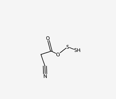 N#CCC(=O)OSS